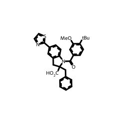 COc1cc(C(=O)N2c3ccc(-c4nccs4)cc3CC2(Cc2ccccc2)C(=O)O)ccc1C(C)(C)C